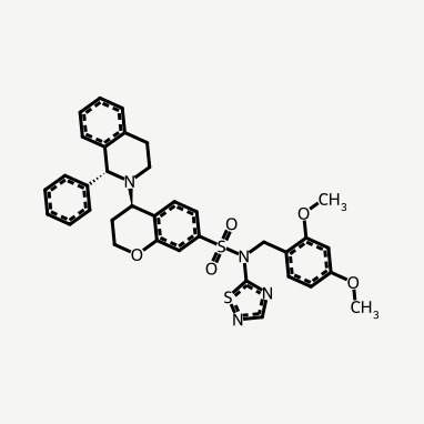 COc1ccc(CN(c2ncns2)S(=O)(=O)c2ccc3c(c2)OCC[C@H]3N2CCc3ccccc3[C@H]2c2ccccc2)c(OC)c1